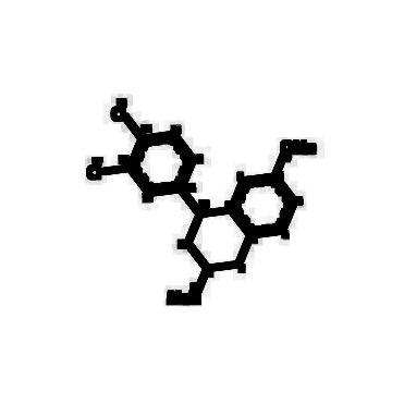 CNC1Cc2ccc(OC)cc2C(c2ccc(Cl)c(Cl)c2)C1